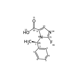 C[C@H](c1ccccc1)n1c(C(=O)O)cnc1F